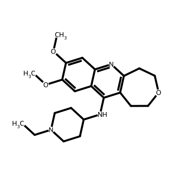 CCN1CCC(Nc2c3c(nc4cc(OC)c(OC)cc24)CCOCC3)CC1